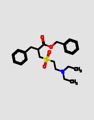 CCN(CC)CCS(=O)(=O)CC(Cc1ccccc1)C(=O)OCc1ccccc1